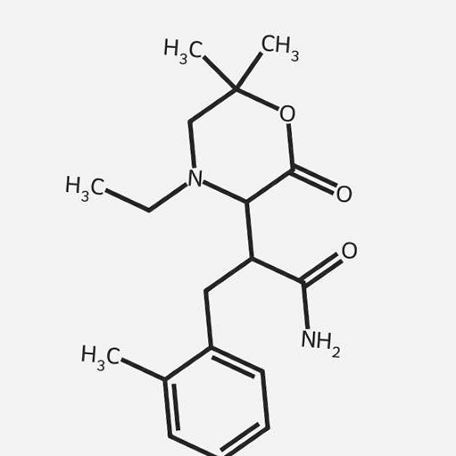 CCN1CC(C)(C)OC(=O)C1C(Cc1ccccc1C)C(N)=O